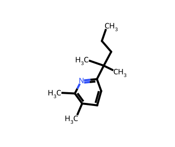 CCCC(C)(C)c1ccc(C)c(C)n1